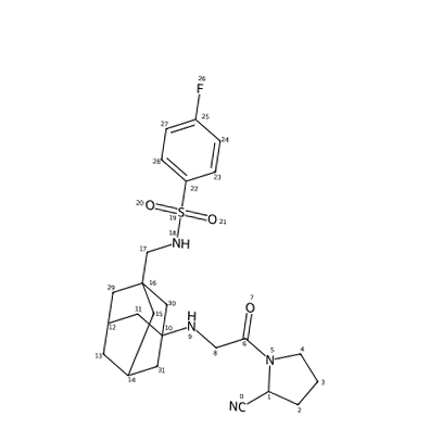 N#CC1CCCN1C(=O)CNC12CC3CC(CC(CNS(=O)(=O)c4ccc(F)cc4)(C3)C1)C2